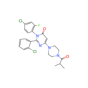 CC(C)C(=O)N1CCN(c2cc(=O)n(-c3ccc(Cl)cc3F)c(-c3ccccc3Cl)n2)CC1